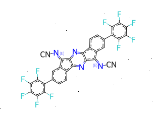 [C-]#[N+]/N=c1\c2cc(-c3c(F)c(F)c(F)c(F)c3F)ccc2c2nc3/c(=N/C#N)c4cc(-c5c(F)c(F)c(F)c(F)c5F)ccc4c3nc12